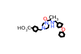 CC(NCc1ccc(Oc2ccccc2)cc1)C(=O)N1CCCN(Cc2ccc(C(=O)O)cc2)CC1